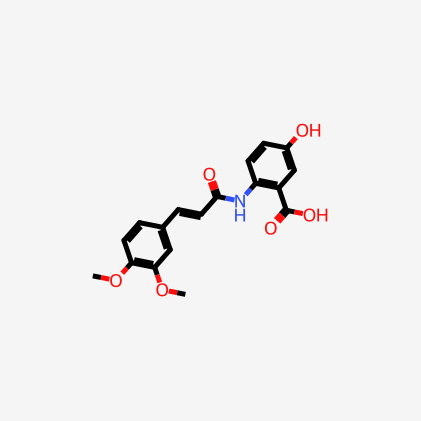 COc1ccc(C=CC(=O)Nc2ccc(O)cc2C(=O)O)cc1OC